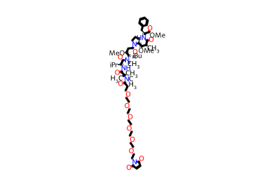 CC[C@H](C)[C@@H]([C@@H](CC(=O)N1CCC[C@H]1[C@H](OC)C(C)C(=O)N[C@@H](Cc1ccccc1)C(=O)OC)OC)N(C)C(=O)[C@@H](NC(=O)C(C)(C)N(C)C(=O)CCOCCOCCOCCOCCOCCOCCN1C(=O)C=CC1=O)C(C)C